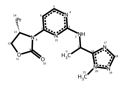 CC(Nc1nccc(N2C(=O)OC[C@@H]2C(C)C)n1)c1ncnn1C